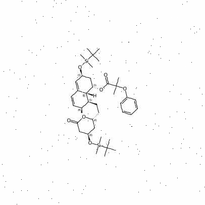 C[C@H]1C=CC2=C[C@@H](O[Si](C)(C)C(C)(C)C)C[C@H](OC(=O)C(C)(C)Oc3ccccc3)[C@@H]2[C@H]1CC[C@@H]1C[C@@H](O[Si](C)(C)C(C)(C)C)CC(=O)O1